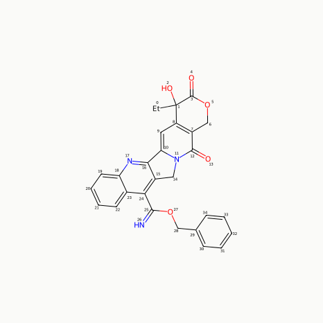 CCC1(O)C(=O)OCc2c1cc1n(c2=O)Cc2c-1nc1ccccc1c2C(=N)OCc1ccccc1